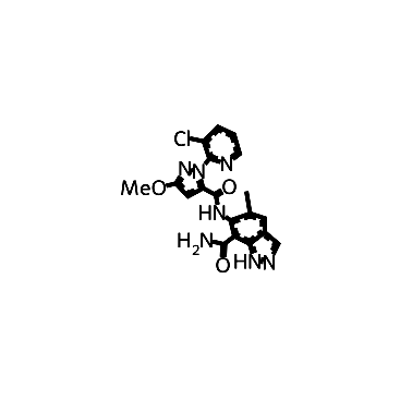 COc1cc(C(=O)Nc2c(C)cc3cn[nH]c3c2C(N)=O)n(-c2ncccc2Cl)n1